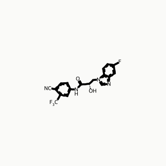 N#Cc1ccc(NC(=O)[C@@H](O)Cn2cnc3cc(F)ccc32)cc1C(F)(F)F